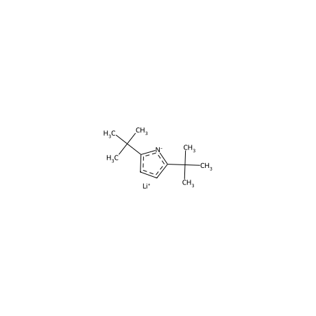 CC(C)(C)c1ccc(C(C)(C)C)[n-]1.[Li+]